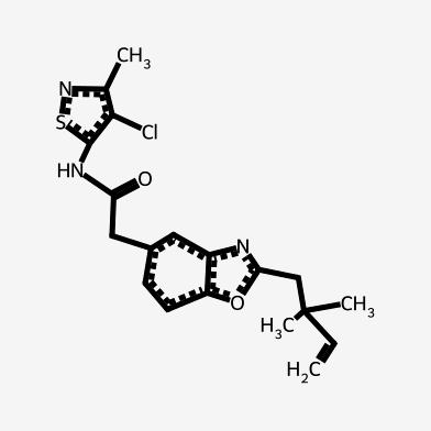 C=CC(C)(C)Cc1nc2cc(CC(=O)Nc3snc(C)c3Cl)ccc2o1